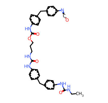 CCNC(=O)Nc1ccc(Cc2ccc(NC(=O)NCCCOC(=O)Nc3ccc(Cc4ccc(N=C=O)cc4)cc3)cc2)cc1